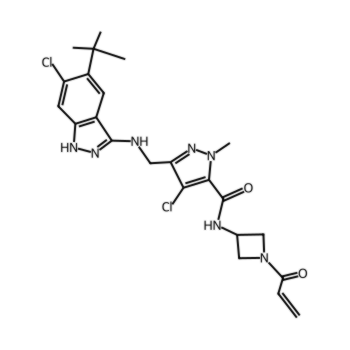 C=CC(=O)N1CC(NC(=O)c2c(Cl)c(CNc3n[nH]c4cc(Cl)c(C(C)(C)C)cc34)nn2C)C1